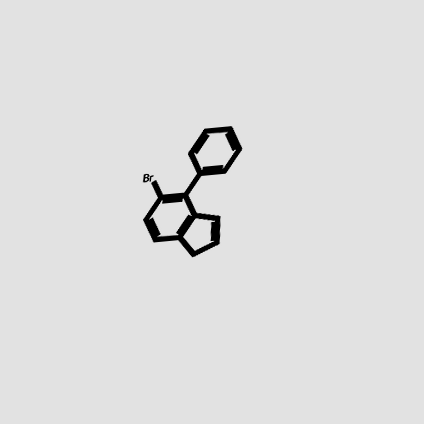 Brc1ccc2c(c1-c1ccccc1)C=CC2